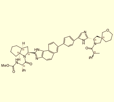 COC(=O)N[C@H](C(=O)N1[C@H](c2nc3ccc4cc(-c5ccc(-c6cnc([C@@H]7C[C@@]8(CCCOC8)CN7C(=O)[C@@H](C)C(C)C)[nH]6)cc5)ccc4c3[nH]2)C[C@@H]2CCCC[C@@H]21)C(C)C